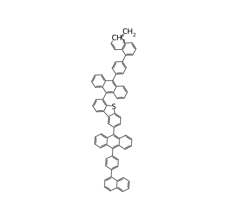 C=Cc1cccc(-c2ccc(-c3c4ccccc4c(-c4cccc5c4sc4ccc(-c6c7ccccc7c(-c7ccc(-c8cccc9ccccc89)cc7)c7ccccc67)cc45)c4ccccc34)cc2)c1/C=C\C